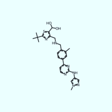 Cc1cc(-c2ccnc(Nc3cnn(C)c3)n2)ccc1CNCc1nc(C(C)(C)C)sc1C(O)O